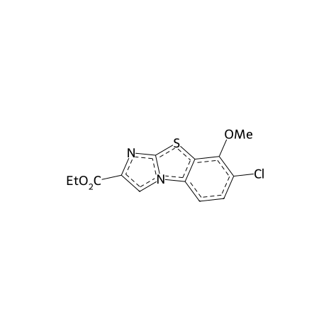 CCOC(=O)c1cn2c(n1)sc1c(OC)c(Cl)ccc12